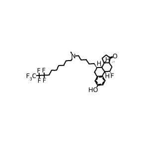 CN(CCCCCCCC(F)(F)C(F)(F)C(F)(F)F)CCCCC[C@@H]1Cc2cc(O)ccc2[C@@H]2[C@@H]1[C@@H]1CCC(=O)[C@@]1(C)C[C@@H]2F